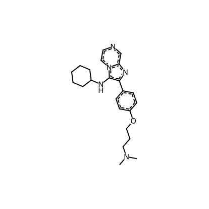 CN(C)CCCOc1ccc(-c2nc3cnccn3c2NC2CCCCC2)cc1